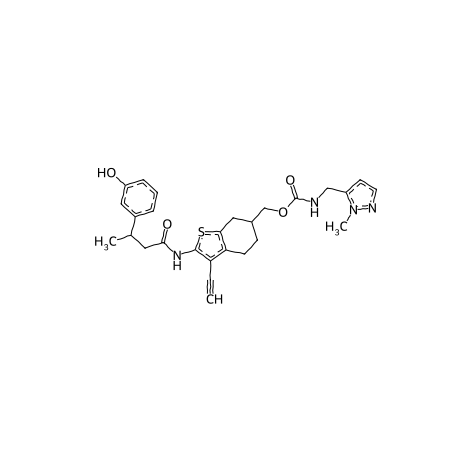 C#Cc1c(NC(=O)CC(C)c2cccc(O)c2)sc2c1CCC(COC(=O)NCc1ccnn1C)C2